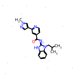 CC(C)Cn1/c(=N/C(=O)c2ccnc(-c3cnn(C)c3)c2)[nH]c2ccccc21